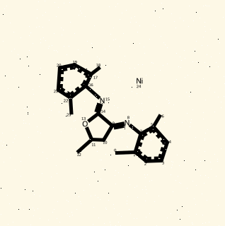 Cc1cccc(C)c1N=C1CC(C)OC1=Nc1c(C)cccc1C.[Ni]